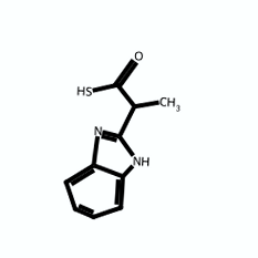 CC(C(=O)S)c1nc2ccccc2[nH]1